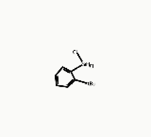 CC(C)(C)c1ccccc1[SiH](Cl)Cl